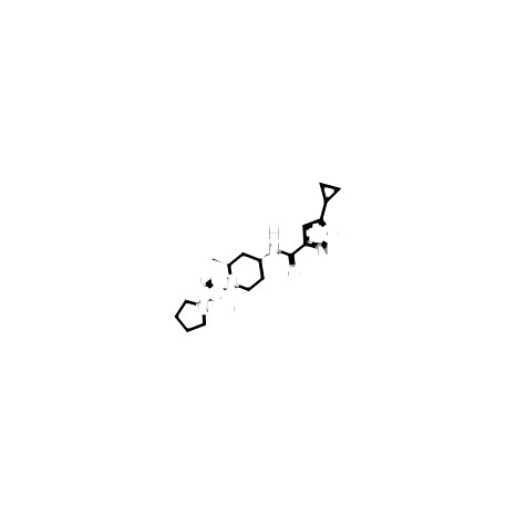 C[C@H]1C[C@@H](NC(=O)c2cc(C3CC3)on2)CCN1S(=O)(=O)N1CCCC1